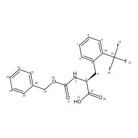 O=C(N[C@@H](Cc1ccccc1C(F)(F)F)C(=O)O)OCc1ccccc1